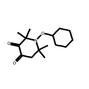 CC1(C)CC(=O)C(=O)C(C)(C)N1OC1CCCCC1